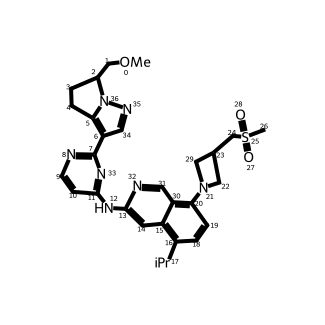 COCC1CCc2c(-c3nccc(Nc4cc5c(C(C)C)ccc(N6CC(CS(C)(=O)=O)C6)c5cn4)n3)cnn21